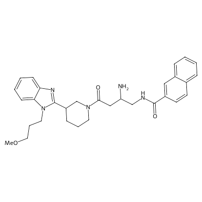 COCCCn1c(C2CCCN(C(=O)CC(N)CNC(=O)c3ccc4ccccc4c3)C2)nc2ccccc21